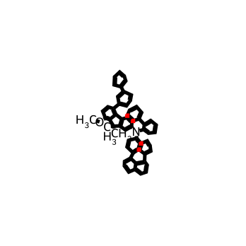 COc1ccc(-c2cccc(-c3ccccc3)c2)c2c1C(C)(C)c1cc(N(c3ccc(-c4cccc5cccc(-c6ccccc6)c45)cc3)c3ccccc3-c3ccccc3)ccc1-2